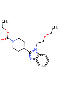 CCOCCn1c(C2CCN(C(=O)OCC)CC2)nc2ccccc21